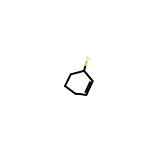 [S]C1C=CCCC1